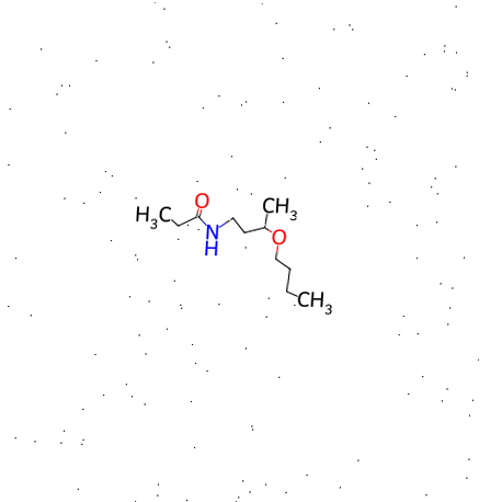 CCCCOC(C)CCNC(=O)CC